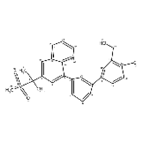 CC(C)(c1cc(-c2cccc(-c3ccc(Cl)c(CO)c3)c2)c2ncccc2c1)S(C)(=O)=O